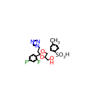 Cc1ccc(S(=O)(=O)O)cc1.OCC1COC(CCn2cncn2)(c2ccc(F)cc2F)O1